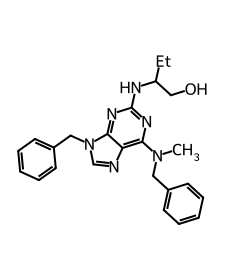 CCC(CO)Nc1nc(N(C)Cc2ccccc2)c2ncn(Cc3ccccc3)c2n1